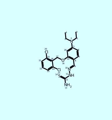 CCN(CC)c1ccc(C=NNC(N)=S)c(OCc2c(Cl)cccc2Cl)c1